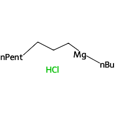 CCCCCCC[CH2][Mg][CH2]CCC.Cl